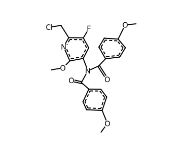 COc1ccc(C(=O)N(C(=O)c2ccc(OC)cc2)c2cc(F)c(CCl)nc2OC)cc1